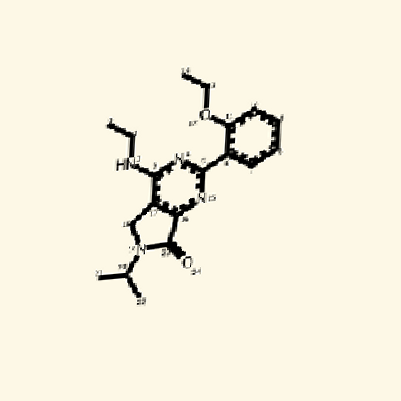 CCNc1nc(-c2ccccc2OCC)nc2c1CN(C(C)C)C2=O